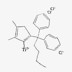 CCCCC(C1=[C]([Ti+3])C(C)=C(C)C1)(c1ccccc1)c1ccccc1.[Cl-].[Cl-].[Cl-]